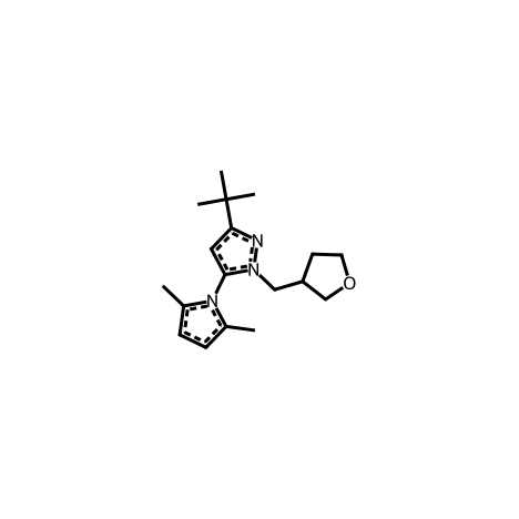 Cc1ccc(C)n1-c1cc(C(C)(C)C)nn1CC1CCOC1